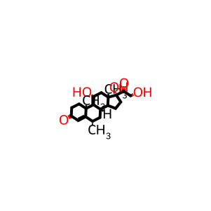 C[C@H]1C[C@@H]2C([C@@H](O)C[C@@]3(C)C2CC[C@]3(O)C(=O)CO)[C@@]2(C)CCC(=O)C=C12